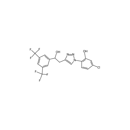 Oc1cc(Cl)ccc1-n1cc(CC(O)c2cc(C(F)(F)F)cc(C(F)(F)F)c2)nn1